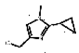 Cn1cc(CO)nc1C1CC1